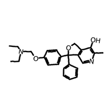 CCN(CC)COc1ccc(C2(c3ccccc3)OCc3c2cnc(C)c3O)cc1